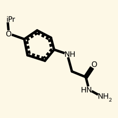 CC(C)Oc1ccc(NCC(=O)NN)cc1